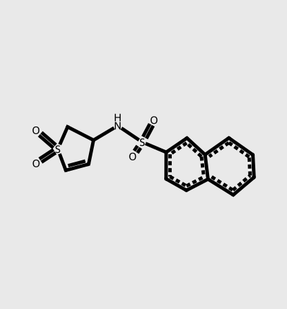 O=S1(=O)C=CC(NS(=O)(=O)c2ccc3ccccc3c2)C1